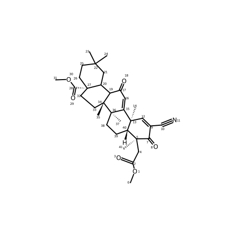 COC(=O)C[C@]1(C)C(=O)C(C#N)=C[C@]2(C)C3=CC(=O)C4C5CC(C)(C)CC[C@]5(C(=O)OC)CC[C@@]4(C)[C@]3(C)CC[C@H]21